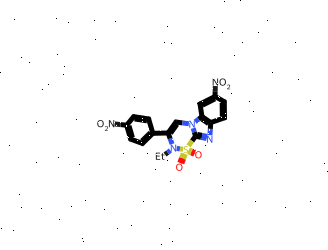 CCN1C(c2ccc([N+](=O)[O-])cc2)=Cn2c(nc3ccc([N+](=O)[O-])cc32)S1(=O)=O